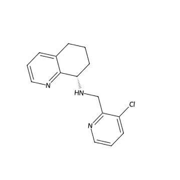 Clc1cccnc1CN[C@H]1CCCc2cccnc21